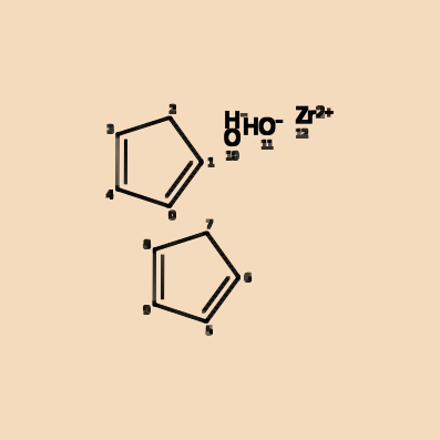 C1=CCC=C1.C1=CCC=C1.[OH-].[OH-].[Zr+2]